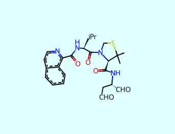 CC(C)[C@H](NC(=O)c1nccc2ccccc12)C(=O)N1CSC(C)(C)[C@H]1C(=O)N[C@H](C=O)CC=O